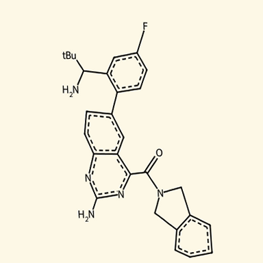 CC(C)(C)C(N)c1cc(F)ccc1-c1ccc2nc(N)nc(C(=O)N3Cc4ccccc4C3)c2c1